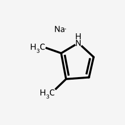 Cc1cc[nH]c1C.[Na]